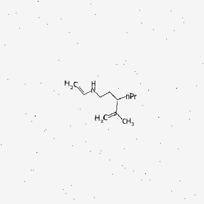 C=CNCCC(CCC)C(=C)C